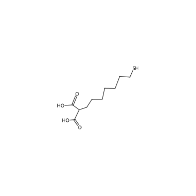 O=C(O)C(CCCCCCCS)C(=O)O